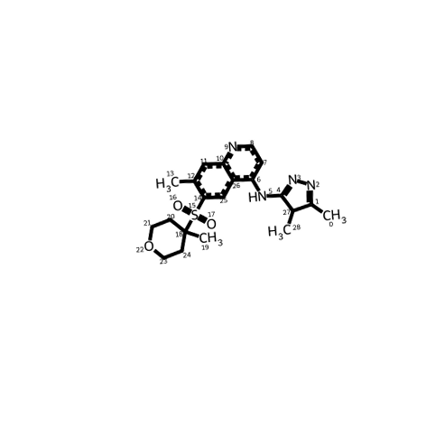 CC1=NN=C(Nc2ccnc3cc(C)c(S(=O)(=O)C4(C)CCOCC4)cc23)C1C